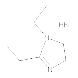 Br.CCC1=NCCN1CC